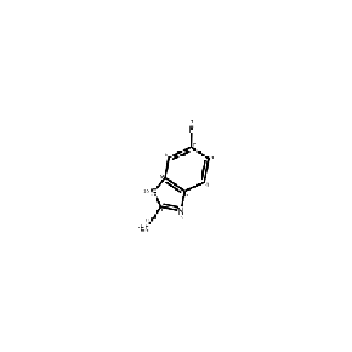 C[CH]c1nc2ccc(F)cc2s1